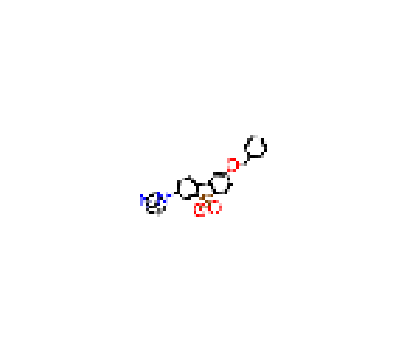 O=S1(=O)c2ccc(OCc3ccccc3)cc2-c2ccc(N3CCN4CCC3CC4)cc21